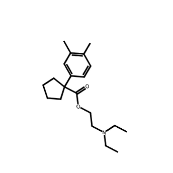 CCN(CC)CCOC(=O)C1(c2ccc(C)c(C)c2)CCCC1